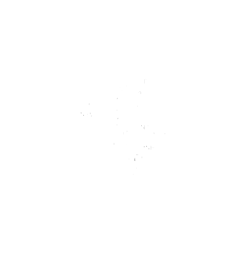 CCC(=O)Oc1ccccc1.CCCC(C)C1(CC)C(=O)N=C([O-])NC1=O.[Na+]